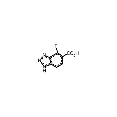 O=C(O)c1ccc2[nH]nnc2c1F